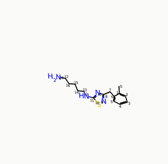 Cc1ccccc1Cc1nsc(NCCCCCN)n1